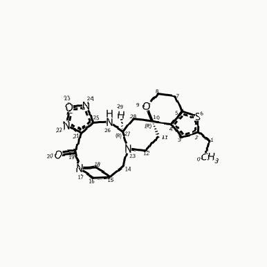 CCc1cc2c(s1)CCO[C@@]21CCN2CC3CN(C3)C(=O)c3nonc3N[C@H]2C1